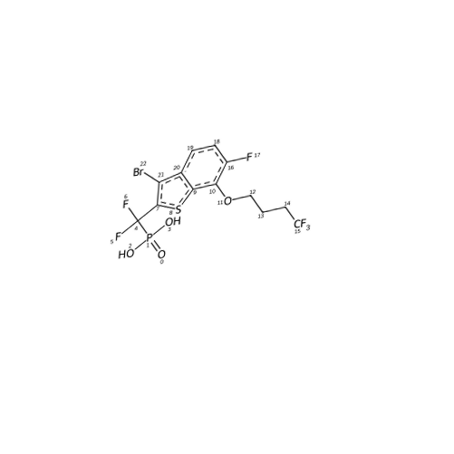 O=P(O)(O)C(F)(F)c1sc2c(OCCCC(F)(F)F)c(F)ccc2c1Br